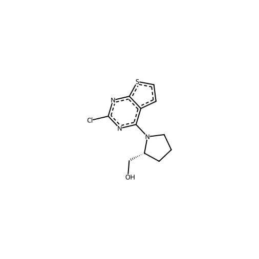 OC[C@H]1CCCN1c1nc(Cl)nc2sccc12